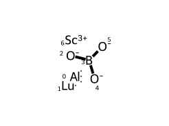 [Al].[Lu].[O-]B([O-])[O-].[Sc+3]